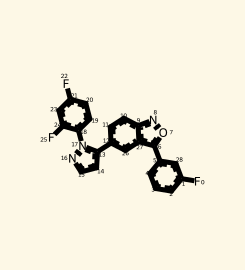 Fc1cccc(-c2onc3ccc(-c4ccnn4-c4ccc(F)cc4F)cc23)c1